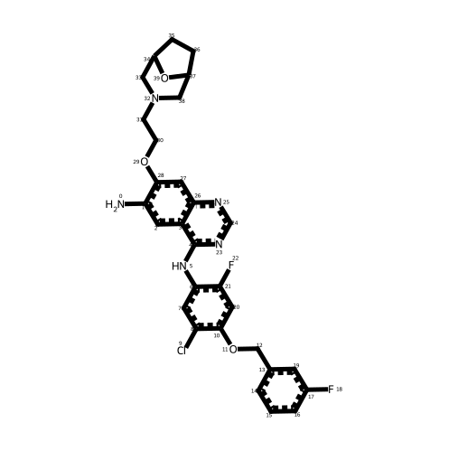 Nc1cc2c(Nc3cc(Cl)c(OCc4cccc(F)c4)cc3F)ncnc2cc1OCCN1CC2CCC(C1)O2